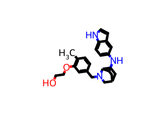 Cc1ccc(CN2CC3CCC2C(Nc2ccc4[nH]ccc4c2)C3)cc1OCCO